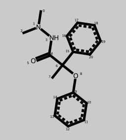 CN(C)NC(=O)C(C)(Oc1ccccc1)c1ccccc1